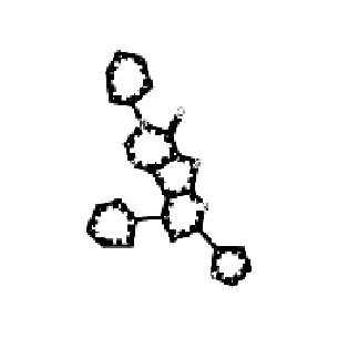 O=c1c2sc3nc(-c4cccs4)cc(-c4ccccc4)c3c2ncn1-c1ccccc1